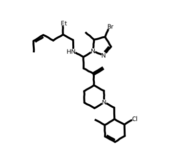 C=C(CC(NCC(CC)C/C=C\C)N1N=CC(Br)C1C)C1CCCN(CC2C(C)C=CCC2Cl)C1